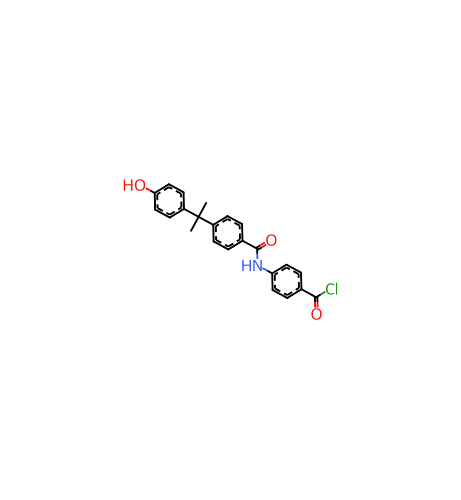 CC(C)(c1ccc(O)cc1)c1ccc(C(=O)Nc2ccc(C(=O)Cl)cc2)cc1